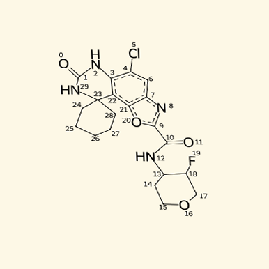 O=C1Nc2c(Cl)cc3nc(C(=O)NC4CCOCC4F)oc3c2C2(CCCCC2)N1